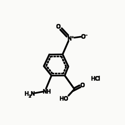 Cl.NNc1ccc([N+](=O)[O-])cc1C(=O)O